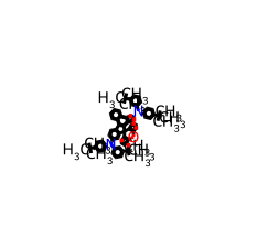 CC(C)(C)c1ccc(N(c2cccc(C(C)(C)C)c2)c2ccc3c(c2)C2(c4ccccc4Oc4ccccc42)c2c-3c3ccccc3c3cc(N(c4ccc(C(C)(C)C)cc4)c4cccc(C(C)(C)C)c4)ccc23)cc1